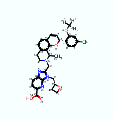 [2H]C([2H])([2H])Oc1cc(Cl)ccc1[C@H]1C=Cc2ccc3c(c2O1)C(C)N(Cc1nc2ccc(C(=O)O)nc2n1C[C@@H]1CCO1)CC3